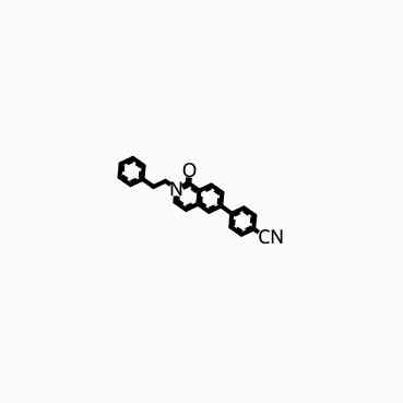 N#Cc1ccc(-c2ccc3c(=O)n(CCc4ccccc4)ccc3c2)cc1